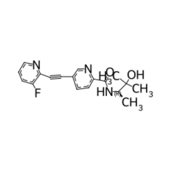 C[C@@H](NC(=O)c1ccc(C#Cc2ncccc2F)cn1)C(C)(C)O